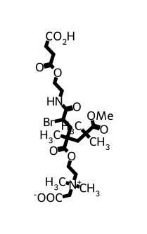 COC(=O)C(C)(C)CC(C)(CC(Br)C(=O)NCCOC(=O)CCC(=O)O)C(=O)OCC[N+](C)(C)CC(=O)[O-]